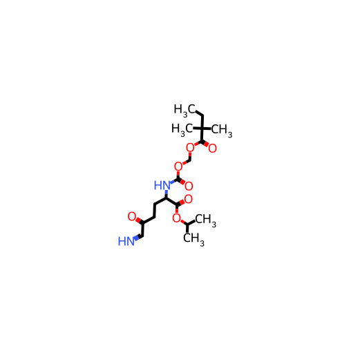 CCC(C)(C)C(=O)OCOC(=O)NC(CCC(=O)C=N)C(=O)OC(C)C